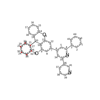 c1ccc(-c2cc(-c3cc4c5c(c3)Oc3ccccc3C5(c3ccccc3)c3ccccc3O4)cc(-c3cccnc3)n2)cc1